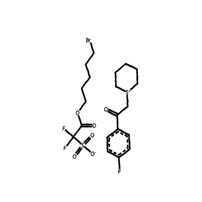 O=C(C[S+]1CCCCC1)c1ccc(F)cc1.O=C(OCCCCCBr)C(F)(F)S(=O)(=O)[O-]